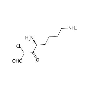 NCCCC[C@H](N)C(=O)C(Cl)C=O